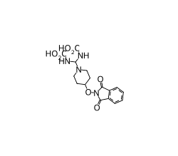 O=C(O)NC(NC(=O)O)N1CCC(ON2C(=O)c3ccccc3C2=O)CC1